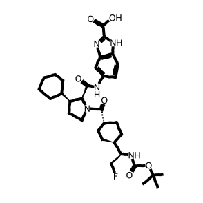 CC(C)(C)OC(=O)N[C@@H](CF)[C@H]1CC[C@H](C(=O)N2CC[C@@H](C3CCCCC3)[C@H]2C(=O)Nc2ccc3[nH]c(C(=O)O)nc3c2)CC1